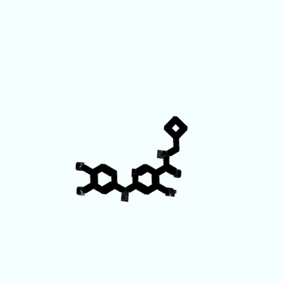 CC(C)c1cc(Nc2ccc(Cl)c(Cl)c2)ncc1C(=O)NCC1CCC1